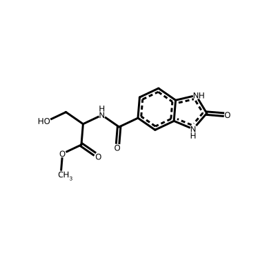 COC(=O)C(CO)NC(=O)c1ccc2[nH]c(=O)[nH]c2c1